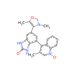 CC1=C(c2cc(-c3c(C)c[n+]([O-])c4ccccc34)c3[nH]c(=O)[nH]c3c2)N(C)CO1